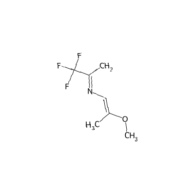 CO/C(C)=C/N=C(\C)C(F)(F)F